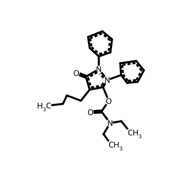 CCCCc1c(OC(=O)N(CC)CC)n(-c2ccccc2)n(-c2ccccc2)c1=O